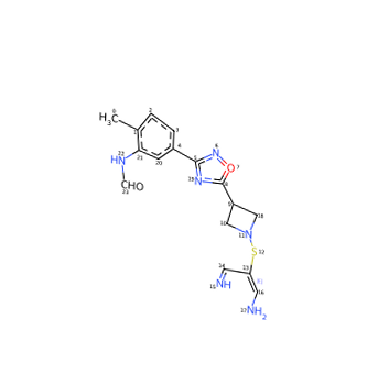 Cc1ccc(-c2noc(C3CN(S/C(C=N)=C/N)C3)n2)cc1NC=O